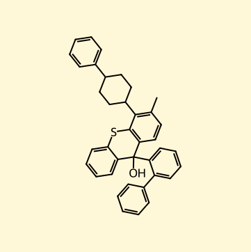 Cc1ccc2c(c1C1CCC(c3ccccc3)CC1)Sc1ccccc1C2(O)c1ccccc1-c1ccccc1